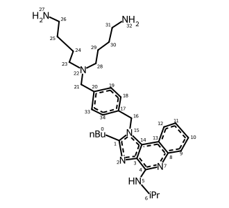 CCCCc1nc2c(NC(C)C)nc3ccccc3c2n1Cc1ccc(CN(CCCCN)CCCCN)cc1